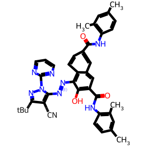 Cc1ccc(NC(=O)c2ccc3c(/N=N/c4c(C#N)c(C(C)(C)C)nn4-c4ncccn4)c(O)c(C(=O)Nc4ccc(C)cc4C)cc3c2)c(C)c1